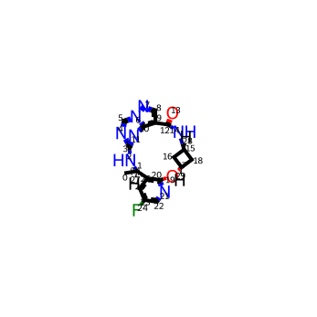 C[C@H]1Nc2ncn3ncc(c3n2)C(=O)N[C@H]2C[C@@H](C2)Oc2ncc(F)cc21